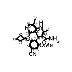 COc1cc(C#N)ccc1[C@@H]1C(C(N)=O)=C(C)Nc2c(C)cnc(OC3CCC3)c21